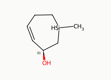 C[SiH]1CCC=C[C@H](O)C1